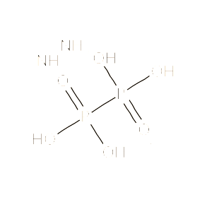 N.N.O=P(O)(O)P(=O)(O)O